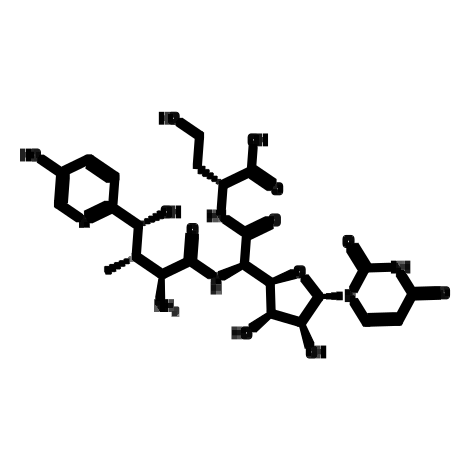 C[C@@H]([C@H](N)C(=O)N[C@@H](C(=O)N[C@H](CCO)C(=O)O)[C@H]1O[C@H](n2ccc(=O)[nH]c2=O)[C@@H](O)[C@H]1O)[C@@H](O)c1ccc(O)cn1